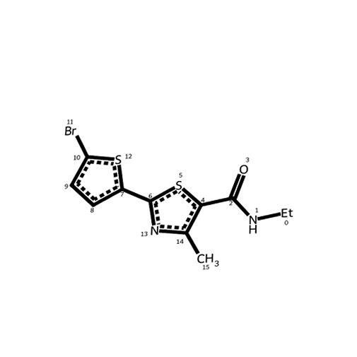 CCNC(=O)c1sc(-c2ccc(Br)s2)nc1C